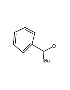 CC(C)(C)C([O])c1ccccc1